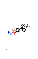 CCOC(=O)C1C(c2ccc(S(N)(=O)=O)cc2)C12CCCC2